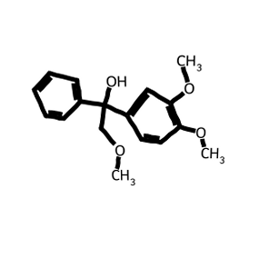 COCC(O)(c1ccccc1)c1ccc(OC)c(OC)c1